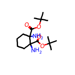 CC(C)(C)OC(=O)C1(N)CCCCC1(N)C(=O)OC(C)(C)C